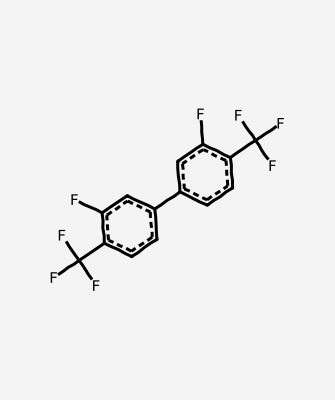 Fc1cc(-c2ccc(C(F)(F)F)c(F)c2)ccc1C(F)(F)F